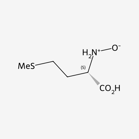 CSCC[C@H]([NH2+][O-])C(=O)O